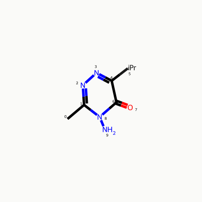 Cc1nnc(C(C)C)c(=O)n1N